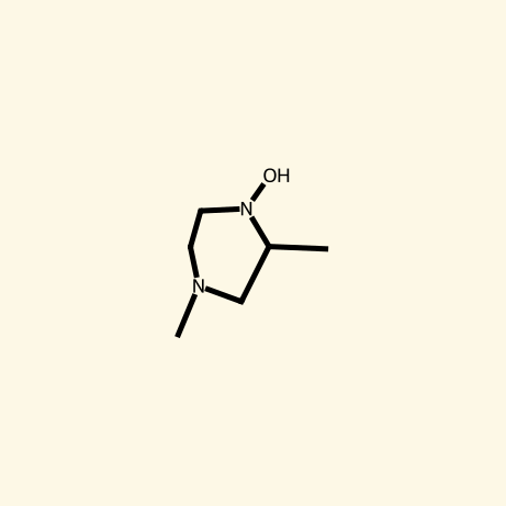 CC1CN(C)CCN1O